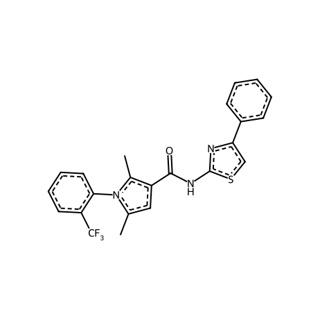 Cc1cc(C(=O)Nc2nc(-c3ccccc3)cs2)c(C)n1-c1ccccc1C(F)(F)F